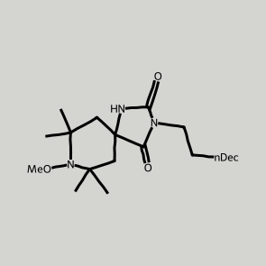 CCCCCCCCCCCCN1C(=O)NC2(CC(C)(C)N(OC)C(C)(C)C2)C1=O